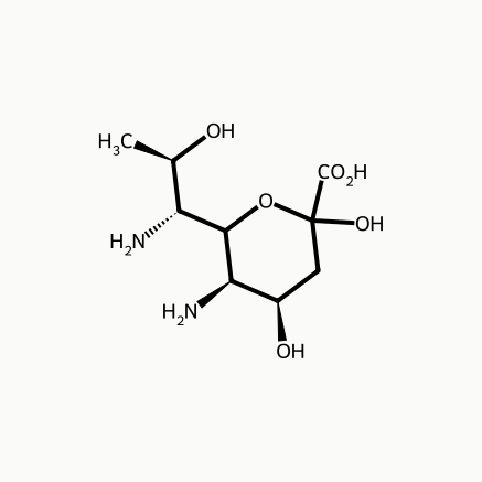 C[C@@H](O)[C@@H](N)C1OC(O)(C(=O)O)C[C@@H](O)[C@H]1N